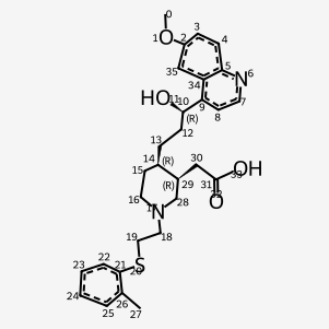 COc1ccc2nccc([C@H](O)CC[C@@H]3CCN(CCSc4ccccc4C)C[C@@H]3CC(=O)O)c2c1